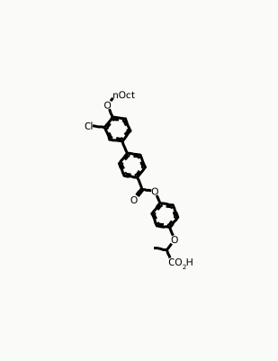 CCCCCCCCOc1ccc(-c2ccc(C(=O)Oc3ccc(OC(C)C(=O)O)cc3)cc2)cc1Cl